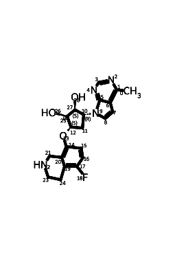 Cc1ncnc2c1ccn2[C@@H]1C[C@H](Oc2ccc(F)c3c2CNCC3)[C@@H](O)[C@H]1O